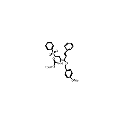 COc1ccc(COC(/C=C/c2ccccc2)C(CCS(=O)(=O)c2ccccc2)NC(=O)OC(C)(C)C)cc1